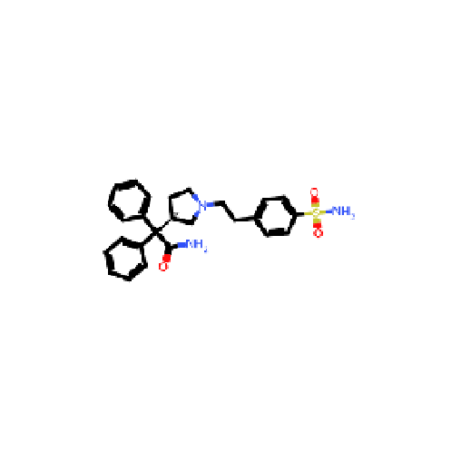 NC(=O)C(c1ccccc1)(c1ccccc1)[C@H]1CCN(CCc2ccc(S(N)(=O)=O)cc2)C1